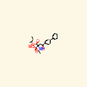 CCC(C)OC(=O)C(CC(=O)c1ccc(-c2ccccc2)cc1)(NC(C)=O)C(=O)O